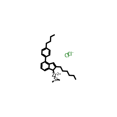 CCCCCCC1=Cc2c(-c3ccc(CCCC)cc3)cccc2[CH]1[Zr+2][Si](C)C.[Cl-].[Cl-]